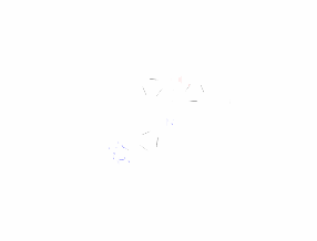 OC(c1ccc(C(F)(F)F)cc1)(c1ccc(C(F)(F)F)cc1)C1CCN(Cc2ccc(-c3nnn(CCF)n3)cc2)CC1